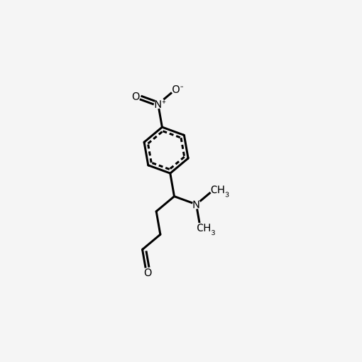 CN(C)C(CCC=O)c1ccc([N+](=O)[O-])cc1